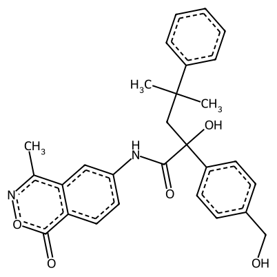 Cc1noc(=O)c2ccc(NC(=O)C(O)(CC(C)(C)c3ccccc3)c3ccc(CO)cc3)cc12